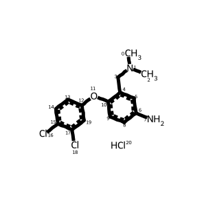 CN(C)Cc1cc(N)ccc1Oc1ccc(Cl)c(Cl)c1.Cl